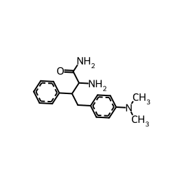 CN(C)c1ccc(CC(c2ccccc2)C(N)C(N)=O)cc1